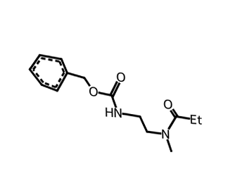 CCC(=O)N(C)CCNC(=O)OCc1ccccc1